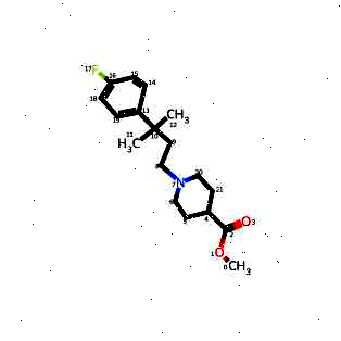 COC(=O)C1CCN(CCC(C)(C)c2ccc(F)cc2)CC1